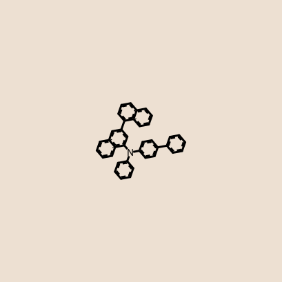 c1ccc(-c2ccc(N(c3ccccc3)c3cc(-c4cccc5ccccc45)cc4ccccc34)cc2)cc1